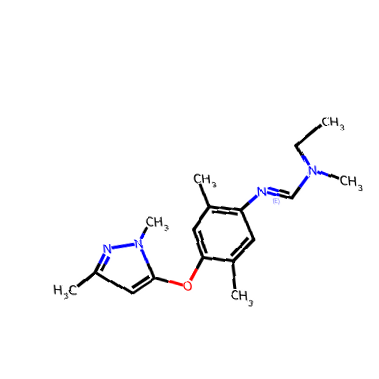 CCN(C)/C=N/c1cc(C)c(Oc2cc(C)nn2C)cc1C